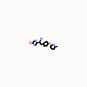 COc1cnc(C(C#N)=Cc2ccc(Oc3cccc(C)n3)cc2)cn1